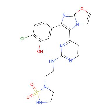 O=S1(=O)NCCN1CCNc1nccc(-c2c(-c3ccc(Cl)c(O)c3)nc3occn23)n1